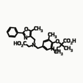 Cc1cc(CN(CC(=O)O)Cc2nc(-c3ccccc3)oc2C)cc(C)c1OC(C)(C)C(=O)O